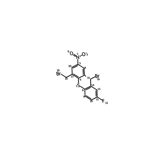 O=[N+]([O-])c1ccc(Sc2ccc(F)cc2CBr)c(CBr)c1